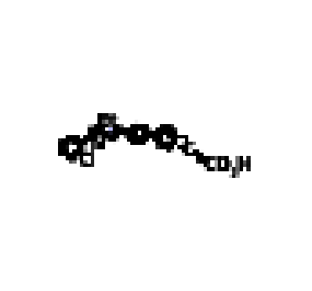 CCn1cc(-c2ccccc2Cl)nc1/C=C/c1ccc(-c2ccc(OCCCC(=O)O)cc2)cc1